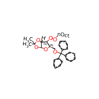 CCCCCCCCOO[C@H]1[C@@H](COC(c2ccccc2)(c2ccccc2)c2ccccc2)OC2OC(C)(C)O[C@@H]21